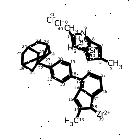 CC1=CC2=C3C(C)=C(C2=N1)[Si]3(C)C.CC1=Cc2c(-c3ccc(C45CC6CC(CC(C6)C4)C5)cc3)cccc2[CH]1[Zr+2].[Cl-].[Cl-]